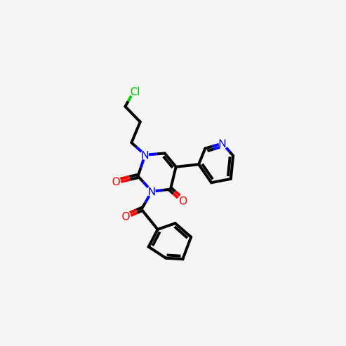 O=C(c1ccccc1)n1c(=O)c(-c2cccnc2)cn(CCCCl)c1=O